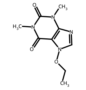 CCOn1cnc2c1c(=O)n(C)c(=O)n2C